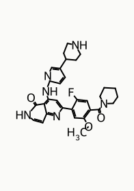 COc1cc(-c2cc(Nc3ccc(C4CCNCC4)cn3)c3c(=O)[nH]ccc3n2)c(F)cc1C(=O)N1CCCCC1